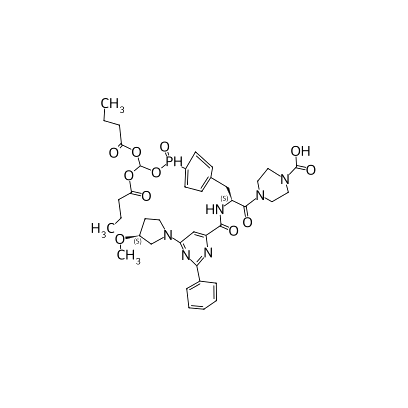 CCCC(=O)OC(OC(=O)CCC)O[PH](=O)c1ccc(C[C@H](NC(=O)c2cc(N3CC[C@H](OC)C3)nc(-c3ccccc3)n2)C(=O)N2CCN(C(=O)O)CC2)cc1